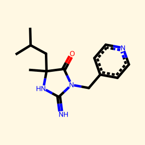 CC(C)CC1(C)NC(=N)N(Cc2ccncc2)C1=O